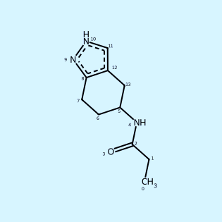 CCC(=O)NC1CCc2n[nH]cc2C1